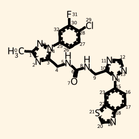 Cc1nc(CNC(=O)NCc2ncnn2-c2ccc3ncsc3c2)n(-c2ccc(Cl)c(F)c2)n1